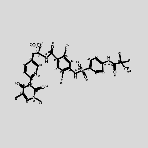 CCOC(=O)[C@H](Cc1ccc(-n2c(=O)c(C)cn(C)c2=O)nc1)NC(=O)c1cc(F)c(NS(=O)(=O)c2ccc(NC(=O)C(C)(C)C(F)(F)F)cc2)cc1F